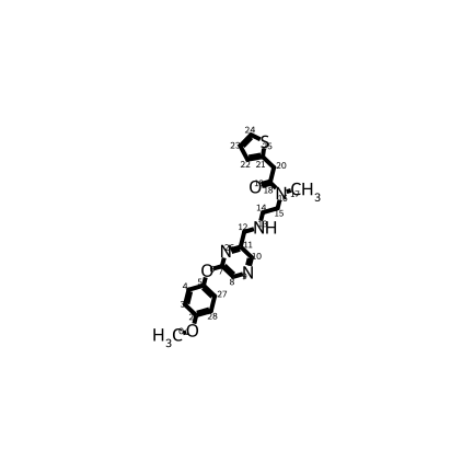 COc1ccc(Oc2cncc(CNCCN(C)C(=O)Cc3cccs3)n2)cc1